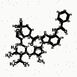 C=CCNOP(OC1[C@@H](C)O[C@@H](n2cnc3c(NC(=O)c4ccccc4)ncnc32)[C@H]1OC(=S)N1CCS(=O)(=O)CC1)N(C(C)C)C(C)C